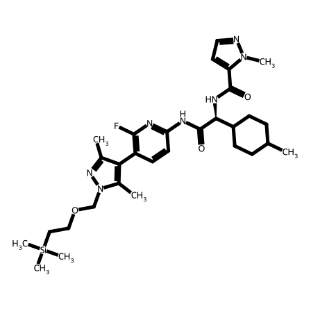 Cc1nn(COCC[Si](C)(C)C)c(C)c1-c1ccc(NC(=O)[C@@H](NC(=O)c2ccnn2C)C2CCC(C)CC2)nc1F